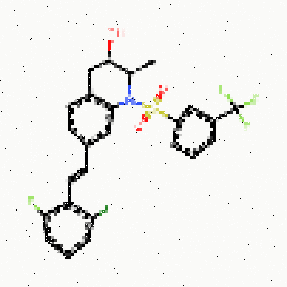 C[C@@H]1[C@H](O)Cc2ccc(C=Cc3c(F)cccc3Cl)cc2N1S(=O)(=O)c1cccc(C(F)(F)F)c1